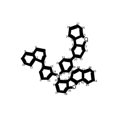 c1cc(-c2cccc3ccccc23)cc(N(c2ccc(-c3ccc4oc5ccccc5c4c3)cc2)c2cccc3oc4c5ccccc5ccc4c23)c1